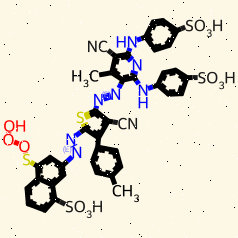 Cc1ccc(-c2c(/N=N/c3cc(SOOO)c4cccc(S(=O)(=O)O)c4c3)sc(/N=N/c3c(Nc4ccc(S(=O)(=O)O)cc4)nc(Nc4ccc(S(=O)(=O)O)cc4)c(C#N)c3C)c2C#N)cc1